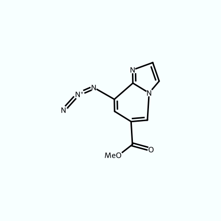 COC(=O)c1cc(N=[N+]=[N-])c2nccn2c1